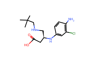 CC(C)(C)CNC[C@H](CC(=O)O)Nc1ccc(N)c(Cl)c1